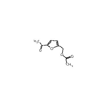 CC(=O)OCc1ccc(C(C)=O)o1